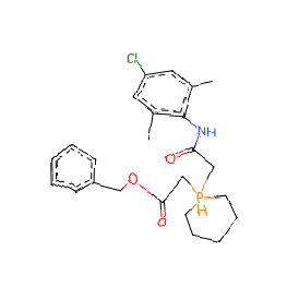 Cc1cc(Cl)cc(C)c1NC(=O)C[PH]1(CC(=O)OCc2ccccc2)CCCCC1